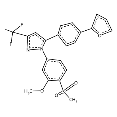 COc1cc(-n2nc(C(F)(F)F)cc2-c2ccc(-c3ccco3)cc2)ccc1S(C)(=O)=O